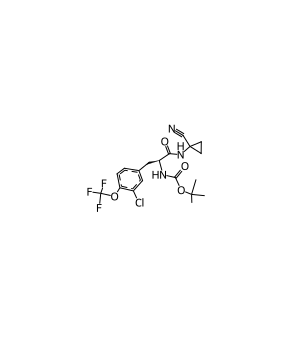 CC(C)(C)OC(=O)N[C@@H](Cc1ccc(OC(F)(F)F)c(Cl)c1)C(=O)NC1(C#N)CC1